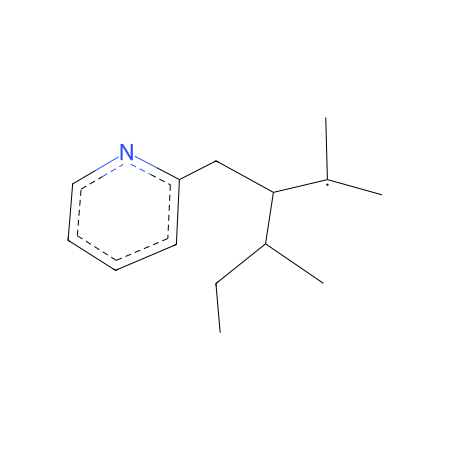 CCC(C)C(Cc1ccccn1)[C](C)C